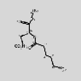 CC(C)(C)OC(=O)[C@H](CC(=O)O)NC(=O)CCCCN